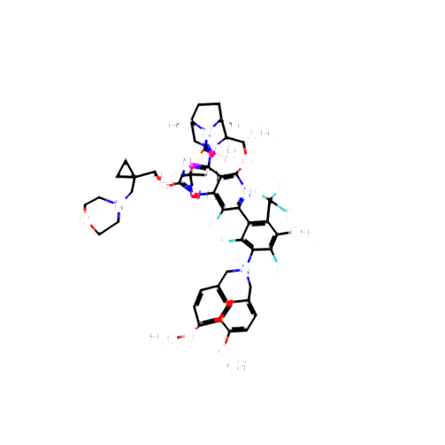 COc1ccc(CN(Cc2ccc(OC)cc2)c2c(F)c(C)c(C(F)(F)F)c(-c3nc4c5c(nc(OCC6(CN7CCOCC7)CC6)nc5c3F)N3C[C@H]5CC[C@@H]([C@H]3[C@H](C)O4)N5C(=O)OC(C)(C)C)c2F)cc1